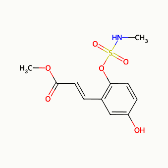 CNS(=O)(=O)Oc1ccc(O)cc1/C=C/C(=O)OC